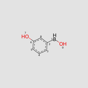 OBc1cccc(O)c1